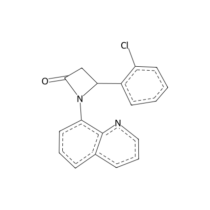 O=C1CC(c2ccccc2Cl)N1c1cccc2cccnc12